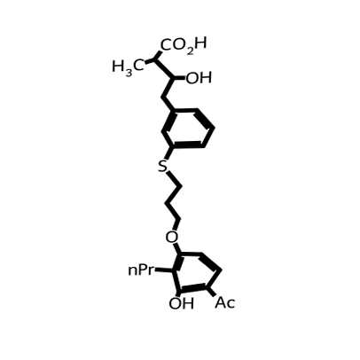 CCCc1c(OCCCSc2cccc(CC(O)C(C)C(=O)O)c2)ccc(C(C)=O)c1O